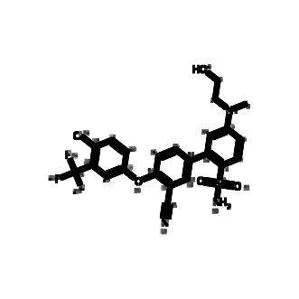 CN(CCO)c1ccc(S(N)(=O)=O)c(-c2ccc(Oc3ccc(Cl)c(C(F)(F)F)c3)c(C#N)c2)c1